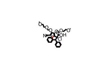 COCCOCOc1c(C#N)sc(C(Cl)(C(=O)O)C(c2ccccc2)c2ccccc2)c1OCOCCOC